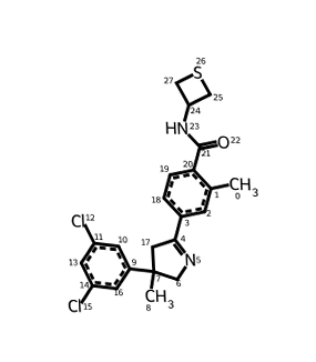 Cc1cc(C2=NCC(C)(c3cc(Cl)cc(Cl)c3)C2)ccc1C(=O)NC1CSC1